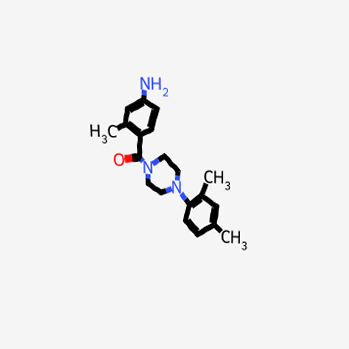 Cc1ccc(N2CCN(C(=O)c3ccc(N)cc3C)CC2)c(C)c1